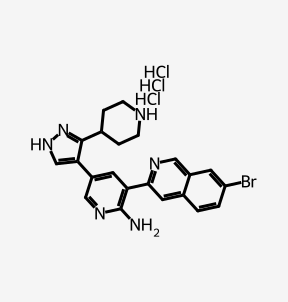 Cl.Cl.Cl.Nc1ncc(-c2c[nH]nc2C2CCNCC2)cc1-c1cc2ccc(Br)cc2cn1